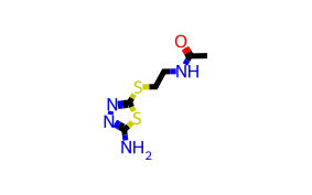 CC(=O)NCCSc1nnc(N)s1